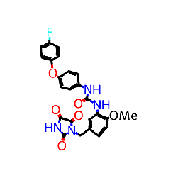 COc1ccc(CN2C(=O)NC(=O)C2=O)cc1NC(=O)Nc1ccc(Oc2ccc(F)cc2)cc1